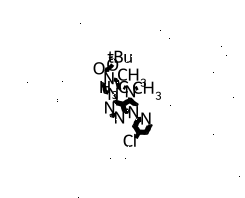 CC1CN(c2ncnc3c2c(N(C)C)cn3-c2cc(Cl)ccn2)CCN1C(=O)OC(C)(C)C